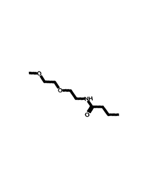 CCCC(=O)NCCOCCOC